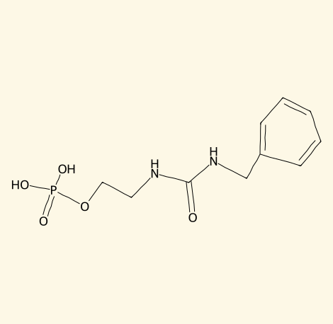 O=C(NCCOP(=O)(O)O)NCc1ccccc1